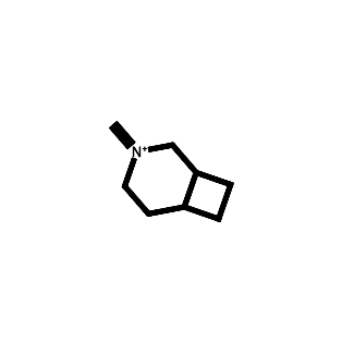 C=[N+]1CCC2CCC2C1